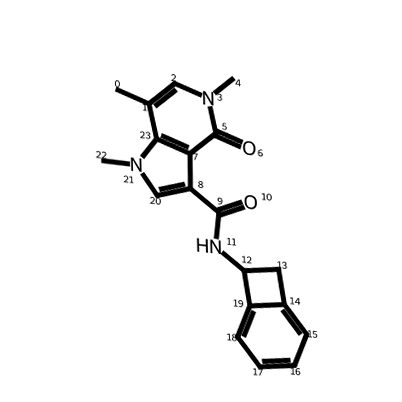 Cc1cn(C)c(=O)c2c(C(=O)NC3Cc4ccccc43)cn(C)c12